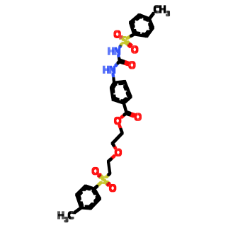 Cc1ccc(S(=O)(=O)CCOCCOC(=O)c2ccc(NC(=O)NS(=O)(=O)c3ccc(C)cc3)cc2)cc1